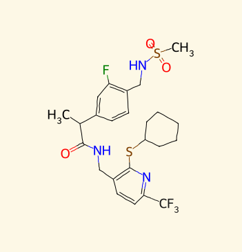 CC(C(=O)NCc1ccc(C(F)(F)F)nc1SC1CCCCC1)c1ccc(CNS(C)(=O)=O)c(F)c1